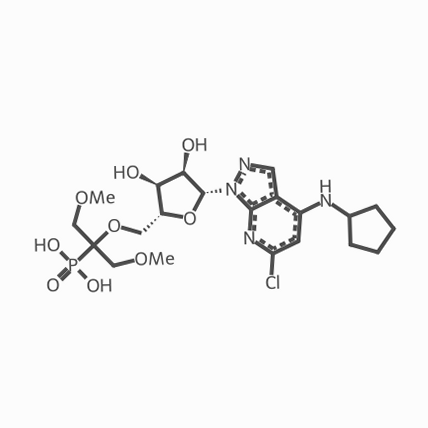 COCC(COC)(OC[C@H]1O[C@@H](n2ncc3c(NC4CCCC4)cc(Cl)nc32)[C@H](O)[C@@H]1O)P(=O)(O)O